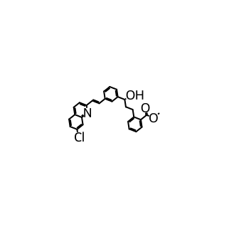 COC(=O)c1ccccc1CC[C@H](O)c1cccc(C=Cc2ccc3ccc(Cl)cc3n2)c1